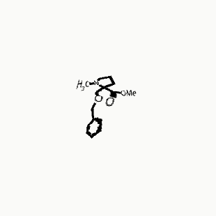 COC(=O)C1(COCc2ccccc2)CCCN1C